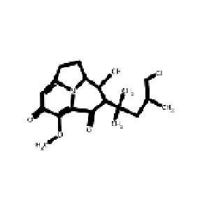 COc1c2n3c(cc1=O)CCC3C(O)C(C(C)(C)CC(C)CCl)C2=O